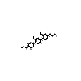 CCCc1ccc(-c2ccc(-c3ccc(CCCO)cc3CC)cc2CC)cc1